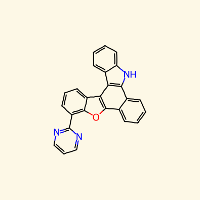 c1cnc(-c2cccc3c2oc2c4ccccc4c4[nH]c5ccccc5c4c32)nc1